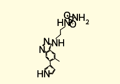 Cc1cc2c(NCCCCNS(N)(=O)=O)ncnc2cc1-c1cc[nH]c1